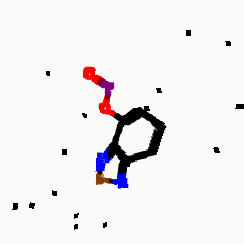 O=POc1cccc2nsnc12